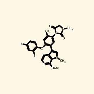 COc1nccc2c(-c3cc(N4C(=O)CN(C)C4=O)c(C)cc3Oc3ccc(F)cc3F)cn(C)c12